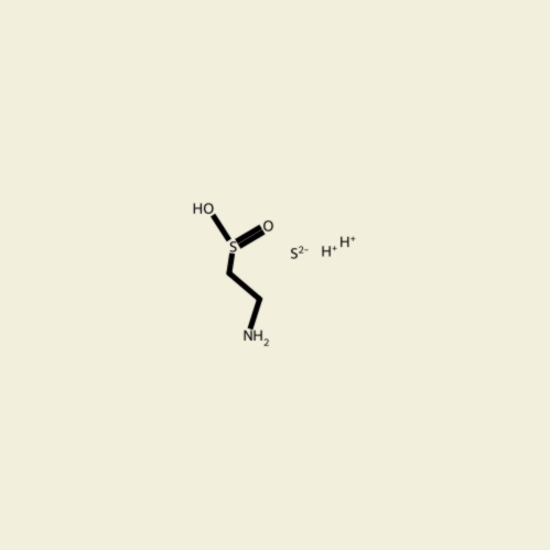 NCCS(=O)O.[H+].[H+].[S-2]